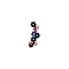 O=C(O/N=C1\CCn2c3ccc(C(=O)c4ccco4)cc3c3cccc1c32)c1ccccc1